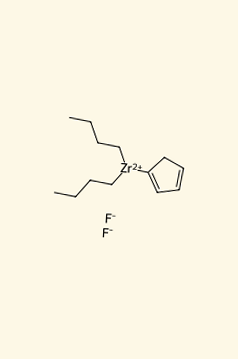 CCC[CH2][Zr+2]([CH2]CCC)[C]1=CC=CC1.[F-].[F-]